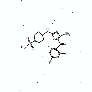 CS(=O)(=O)N1CCC(Nc2nc(N)c(C(=O)c3ccc(F)cc3F)s2)CC1